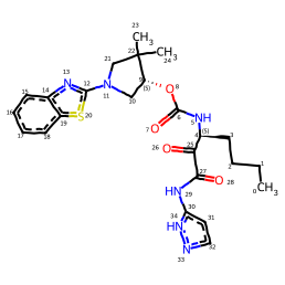 CCCC[C@H](NC(=O)O[C@@H]1CN(c2nc3ccccc3s2)CC1(C)C)C(=O)C(=O)Nc1ccn[nH]1